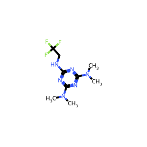 CN(C)c1nc(NCC(F)(F)F)nc(N(C)C)n1